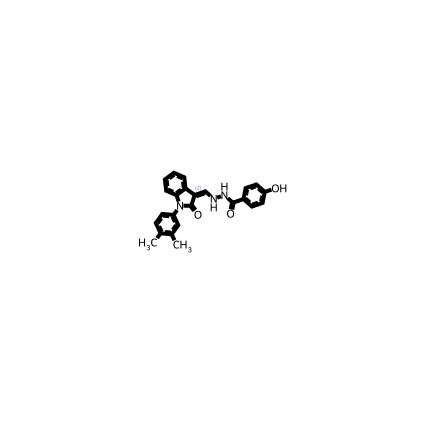 Cc1ccc(N2C(=O)/C(=C\NNC(=O)c3ccc(O)cc3)c3ccccc32)cc1C